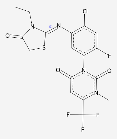 CCN1C(=O)CS/C1=N\c1cc(-n2c(=O)cc(C(F)(F)F)n(C)c2=O)c(F)cc1Cl